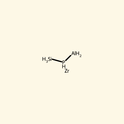 [AlH2][PH][SiH3].[Zr]